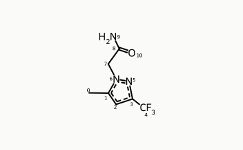 Cc1cc(C(F)(F)F)nn1CC(N)=O